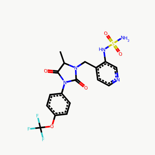 CC1C(=O)N(c2ccc(OC(F)(F)F)cc2)C(=O)N1Cc1ccncc1NS(N)(=O)=O